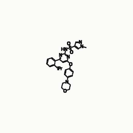 CC(C)c1ccccc1-c1cc(Oc2ccc(N3CCOCC3)cc2)nc(NS(=O)(=O)c2cnn(C)c2)n1